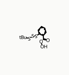 CC(C)(C)SSSc1ccccc1C(=O)OO